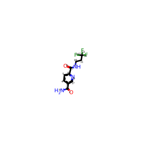 NC(=O)c1ccc(C(=O)NCCC(F)(F)F)nc1